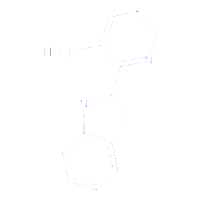 O=C(O)c1cccnc1-c1nc2ccccc2s1